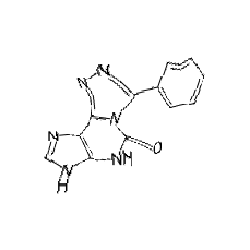 O=c1[nH]c2[nH]cnc2c2nnc(-c3ccccc3)n12